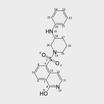 O=S(=O)(c1cccc2c(O)nccc12)N1CCCC(Nc2ccccc2)C1